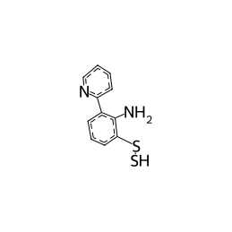 Nc1c(SS)cccc1-c1ccccn1